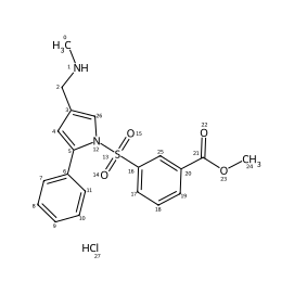 CNCc1cc(-c2ccccc2)n(S(=O)(=O)c2cccc(C(=O)OC)c2)c1.Cl